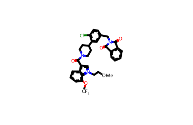 COCCn1cc(C(=O)N2CCC(c3cc(CN4C(=O)c5ccccc5C4=O)ccc3Cl)CC2)c2cccc(OC(F)(F)F)c21